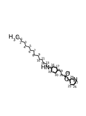 CCCCCCCCCCCCCCNc1ccc(CCC(=O)Oc2cccnc2)cc1